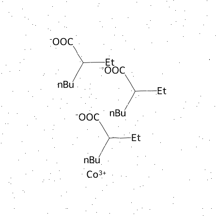 CCCCC(CC)C(=O)[O-].CCCCC(CC)C(=O)[O-].CCCCC(CC)C(=O)[O-].[Co+3]